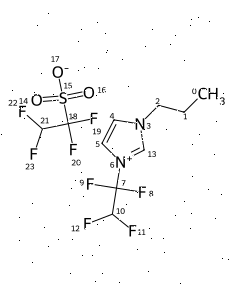 CCCn1cc[n+](C(F)(F)C(F)F)c1.O=S(=O)([O-])C(F)(F)C(F)F